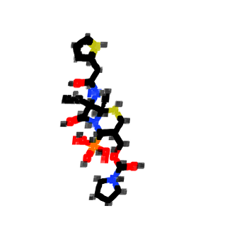 COC1(NC(=O)Cc2cccs2)C(=O)N2C(P(=O)(O)O)=C(COC(=O)N3CCCC3)CS[C@@H]21